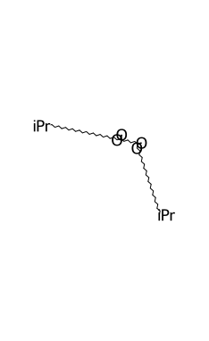 CC(C)CCCCCCCCCCCCCCCCCCCOC(=O)CCCCC(=O)OCCCCCCCCCCCCCCCCCCCC(C)C